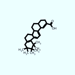 CC1(C)CC2=C(C3=CC=C4C5C=C(C(=O)O)CCC5CCC4C3CC2)C(C)(C)C1(C)C